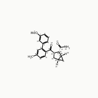 COc1cccc(-c2cc(C)ccc2C(=O)N2C[C@H]3C[C@H]3[C@H]2C(N)=O)c1